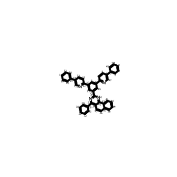 c1ccc(-c2ccc(-c3cc(-c4ccc(-c5ccccc5)cn4)cc(-c4nc(-c5ccccc5)c5ccc6ccccc6c5n4)c3)nc2)cc1